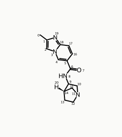 Cc1cn2cc(C(=O)NC3CN4CC[C@H]3C4)ccc2n1